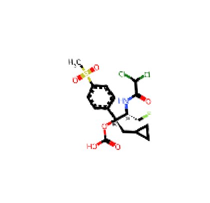 CS(=O)(=O)c1ccc([C@@](CC2CC2)(OC(=O)O)[C@@H](CF)NC(=O)C(Cl)Cl)cc1